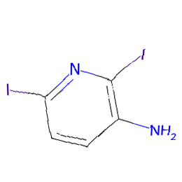 Nc1ccc(I)nc1I